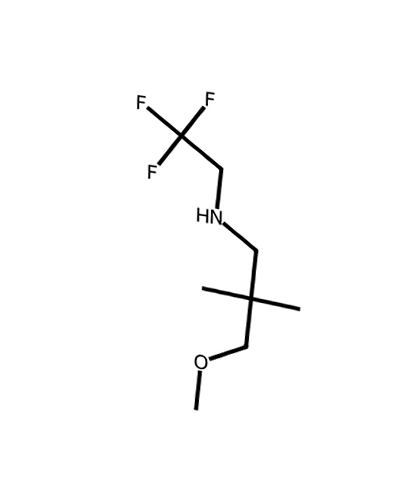 COCC(C)(C)CNCC(F)(F)F